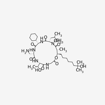 CC(C)C[C@H]1C(=O)N[C@@H](C2CCCCC2)C(=O)N[C@@H](CN)C(=O)N[C@@H]([C@H](C)O)C(=O)NCC(=O)O[C@H](CCCCCCC(C)(C)O)[C@@H](C)C(=O)N1C